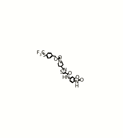 O=C(Nc1ccc2[nH]c(=O)oc2c1)c1csc(C2CCN(C(=O)OCc3ccc(SC(F)(F)F)cc3)CC2)n1